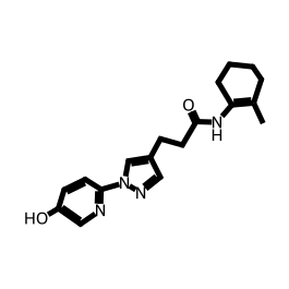 CC1=C(NC(=O)CCc2cnn(-c3ccc(O)cn3)c2)CCCC1